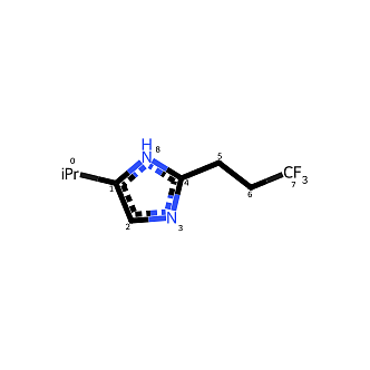 CC(C)c1cnc(CCC(F)(F)F)[nH]1